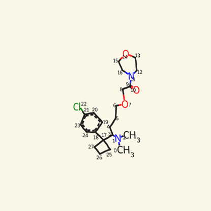 CN(C)C(CCCOCC(=O)N1CCOCC1)C1(c2ccc(Cl)cc2)CCC1